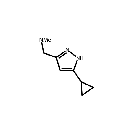 [CH2-][NH2+]Cc1cc(C2CC2)[nH]n1